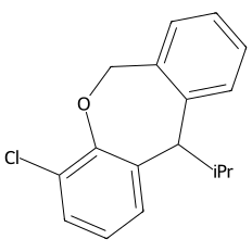 CC(C)C1c2ccccc2COc2c(Cl)cccc21